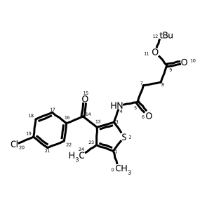 Cc1sc(NC(=O)CCC(=O)OC(C)(C)C)c(C(=O)c2ccc(Cl)cc2)c1C